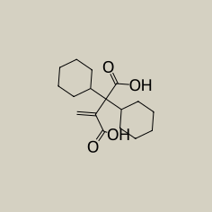 C=C(C(=O)O)C(C(=O)O)(C1CCCCC1)C1CCCCC1